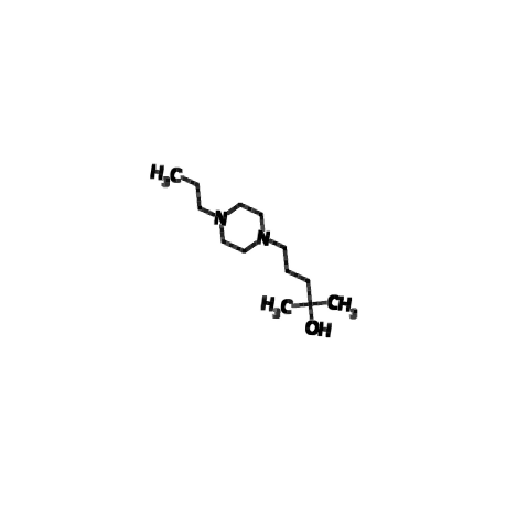 CCCN1CCN(CCCC(C)(C)O)CC1